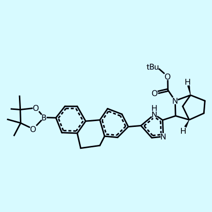 CC(C)(C)OC(=O)N1C(c2ncc(-c3ccc4c(c3)CCc3cc(B5OC(C)(C)C(C)(C)O5)ccc3-4)[nH]2)[C@H]2CC[C@@H]1C2